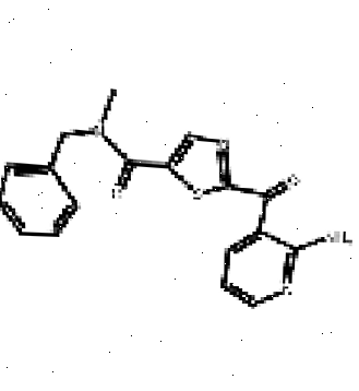 CN(Cc1ccccc1)C(=O)c1cnc(C(=O)c2cccnc2N)s1